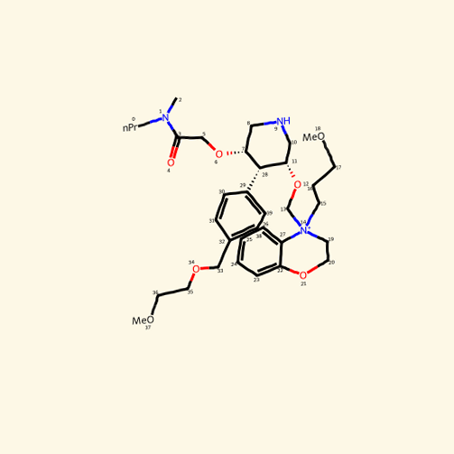 CCCN(C)C(=O)CO[C@@H]1CNC[C@H](OC[N+]2(CCCOC)CCOc3ccccc32)[C@@H]1c1ccc(COCCOC)cc1